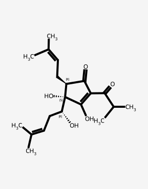 CC(C)=CC[C@@H](O)[C@]1(O)C(O)=C(C(=O)C(C)C)C(=O)[C@@H]1CC=C(C)C